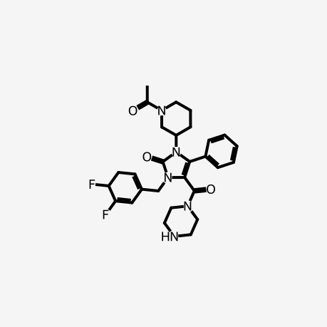 CC(=O)N1CCCC(n2c(-c3ccccc3)c(C(=O)N3CCNCC3)n(CC3=CCC(F)C(F)=C3)c2=O)C1